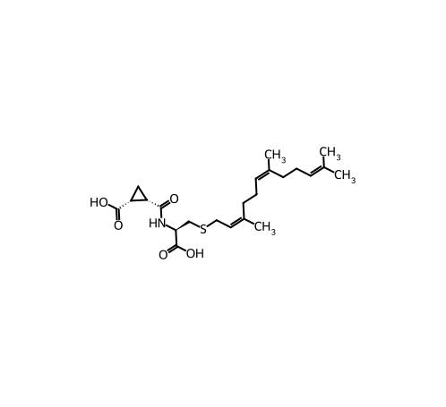 CC(C)=CCCC(C)=CCCC(C)=CCSC[C@H](NC(=O)[C@H]1C[C@H]1C(=O)O)C(=O)O